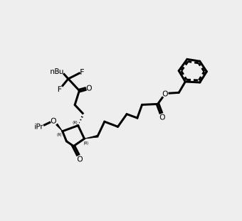 CCCCC(F)(F)C(=O)CC[C@H]1[C@H](OC(C)C)CC(=O)[C@@H]1CCCCCCC(=O)OCc1ccccc1